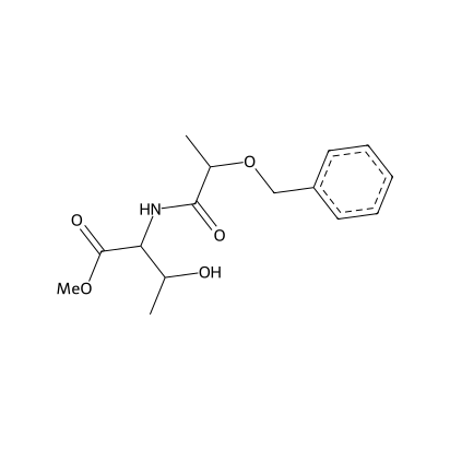 COC(=O)C(NC(=O)C(C)OCc1ccccc1)C(C)O